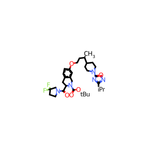 CC(C)c1noc(N2CCC([C@H](C)CCOc3ccc4c(c3)CN(C(=O)OC(C)(C)C)C(C(=O)N3CCC(F)(F)C3)C4)CC2)n1